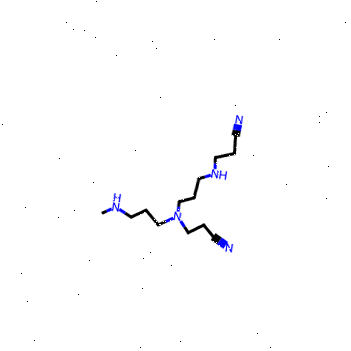 CNCCCN(CCC#N)CCCNCCC#N